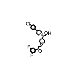 O=C(C=CN1CCC(C(CO)N2CCC(c3ccc(Cl)cc3)CC2)CC1)c1cc(F)cc(F)c1